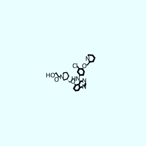 O=C(CO)N1CCC[C@H](COc2cccc3ncnc(Nc4ccc(OCc5ccccn5)c(Cl)c4)c23)C1